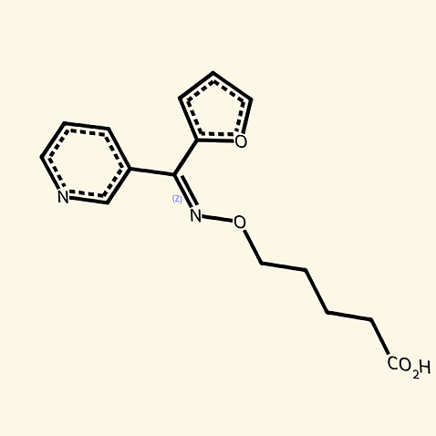 O=C(O)CCCCO/N=C(/c1cccnc1)c1ccco1